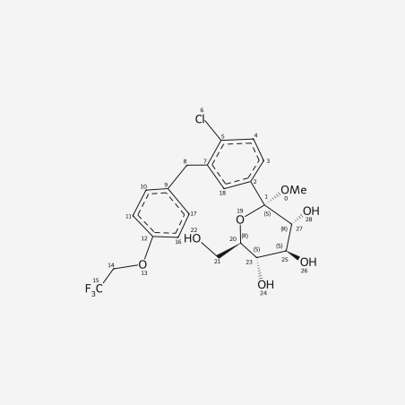 CO[C@@]1(c2ccc(Cl)c(Cc3ccc(OCC(F)(F)F)cc3)c2)O[C@H](CO)[C@@H](O)[C@H](O)[C@H]1O